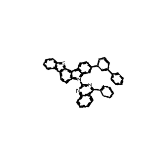 C1=CCCC(c2nc(-n3c4cc(C5C=C(c6ccccc6)C=CC5)ccc4c4c5sc6ccccc6c5ccc43)nc3ccccc23)=C1